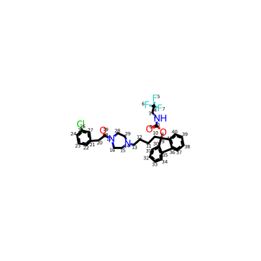 O=C(NCC(F)(F)F)OC1(CCCCN2CCN(C(=O)Cc3cccc(Cl)c3)CC2)c2ccccc2-c2ccccc21